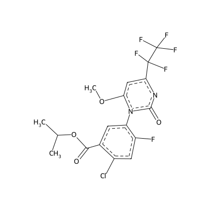 COc1cc(C(F)(F)C(F)(F)F)nc(=O)n1-c1cc(C(=O)OC(C)C)c(Cl)cc1F